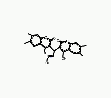 Cc1cc2oc(=O)c(C(/C=N/O)c3c(O)c4cc(C)c(C)cc4oc3=O)c(O)c2cc1C